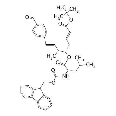 CC(C)C[C@H](NC(=O)OCC1c2ccccc2-c2ccccc21)C(=O)O[C@@H](C/C=C/C(=O)OC(C)(C)C)[C@H](C)/C=C/c1ccc(C=O)cc1